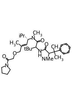 CNC(C(=O)NC(C(=O)N(C)[C@H](/C=C(\C)COCC(=O)N1CCCC1)C(C)C)C(C)(C)C)C(C)(C)c1ccccc1